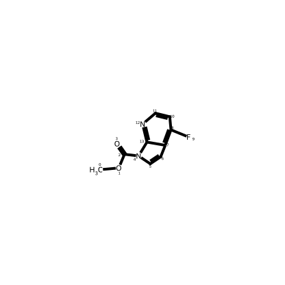 COC(=O)n1ccc2c(F)ccnc21